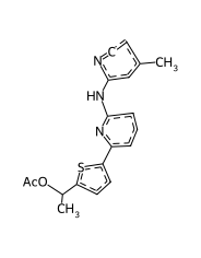 CC(=O)OC(C)c1ccc(-c2cccc(Nc3cc(C)ccn3)n2)s1